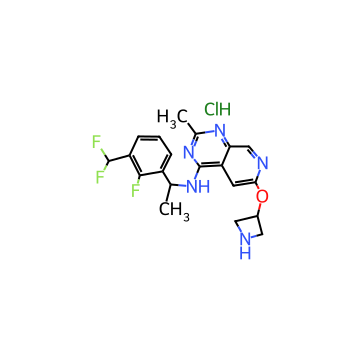 Cc1nc(NC(C)c2cccc(C(F)F)c2F)c2cc(OC3CNC3)ncc2n1.Cl